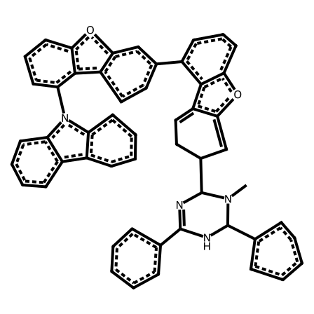 CN1C(c2ccccc2)NC(c2ccccc2)=NC1C1C=c2oc3cccc(-c4ccc5c(c4)oc4cccc(-n6c7ccccc7c7ccccc76)c45)c3c2=CC1